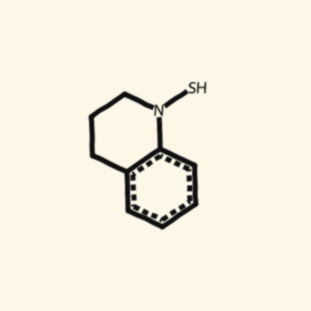 SN1CCCc2ccccc21